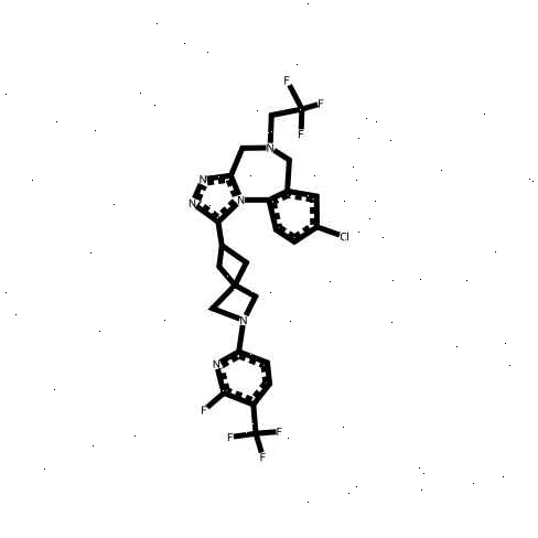 Fc1nc(N2CC3(CC(c4nnc5n4-c4ccc(Cl)cc4CN(CC(F)(F)F)C5)C3)C2)ccc1C(F)(F)F